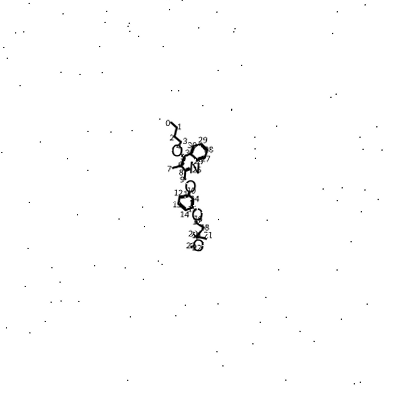 CCCCOc1c(C)c(COc2cccc(OCCC(C)(C)OC)c2)nc2ccccc12